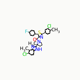 Cc1ccc(-c2nc(C(=O)N3CCCC3(C)c3nc4c(C)c(Cl)ccc4[nH]3)c(-c3ccc(F)cc3)s2)cc1Cl